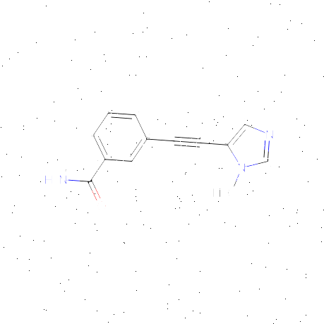 Cn1cncc1C#Cc1cccc(C(N)=O)c1